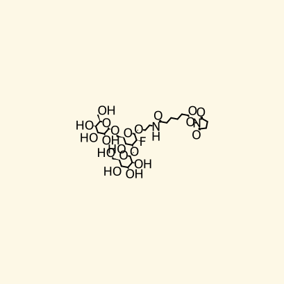 O=C(CCCCC(=O)ON1C(=O)CCC1=O)NCCO[C@H]1O[C@H](CO[C@H]2O[C@H](CO)[C@@H](O)[C@H](O)[C@@H]2O)[C@@H](O)[C@H](O[C@H]2O[C@H](CO)[C@@H](O)[C@H](O)[C@@H]2O)[C@H]1F